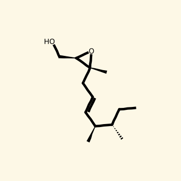 CC[C@H](C)[C@@H](C)/C=C/C[C@@]1(C)O[C@@H]1CO